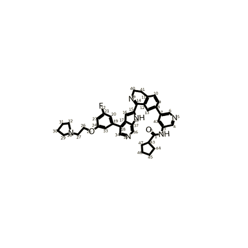 O=C(Nc1cncc(-c2ccc3c(c2)C(c2cc4c(-c5cc(F)cc(OCCN6CCCC6)c5)cncc4[nH]2)=NCC3)c1)C1CCCC1